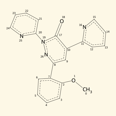 COc1ccccc1-c1cc(-c2ccccn2)c(=O)n(-c2ccccn2)n1